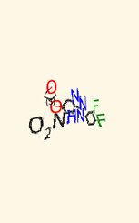 O=[N+]([O-])c1cc2c(Nc3ccc(F)c(F)c3)ncnc2cc1O[C@H]1CCOC1